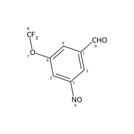 O=Cc1cc(N=O)cc(OC(F)(F)F)c1